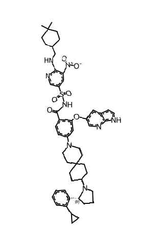 CC1(C)CCC(CNc2ncc(S(=O)(=O)NC(=O)c3ccc(N4CCC5(CCC(N6CCC[C@@H]6c6ccccc6C6CC6)CC5)CC4)cc3Oc3cnc4[nH]ccc4c3)cc2[N+](=O)[O-])CC1